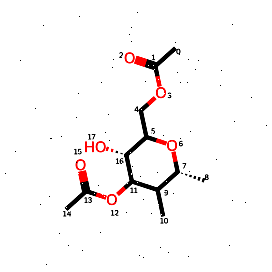 CC(=O)OCC1O[C@H](C)C(C)C(OC(C)=O)[C@@H]1O